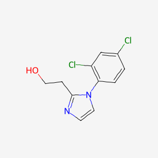 OCCc1nccn1-c1ccc(Cl)cc1Cl